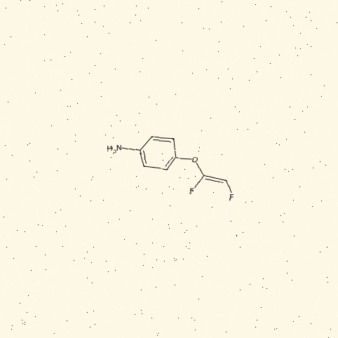 Nc1ccc(OC(F)=CF)cc1